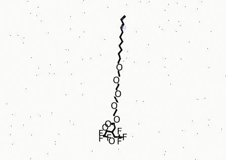 C=C/C=C/CCCCCCCCOCCOCCOCCOCCOC(=O)CC(C(=O)C(F)(F)F)C(=O)C(F)(F)F